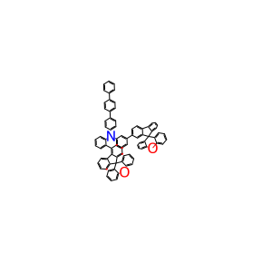 c1ccc(-c2ccc(-c3ccc(N(c4cccc(-c5ccc6c(c5)C5(c7ccccc7Oc7ccccc75)c5ccccc5-6)c4)c4ccccc4-c4cccc5c4-c4ccccc4C54c5ccccc5Oc5ccccc54)cc3)cc2)cc1